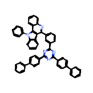 c1ccc(-c2ccc(-c3nc(-c4ccc(-c5ccccc5)cc4)nc(-c4cccc(-c5nc6ccccc6c6c5c5ccccc5n6-c5ccccc5)c4)n3)cc2)cc1